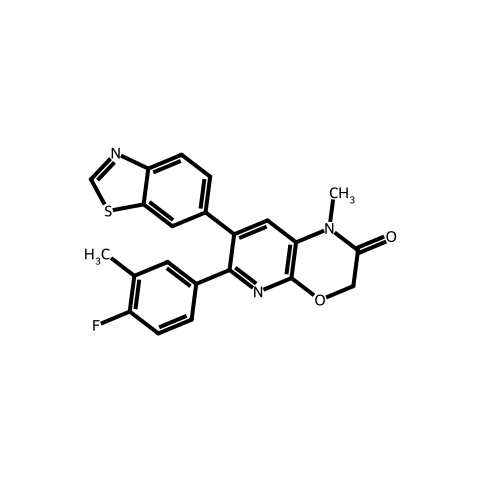 Cc1cc(-c2nc3c(cc2-c2ccc4ncsc4c2)N(C)C(=O)CO3)ccc1F